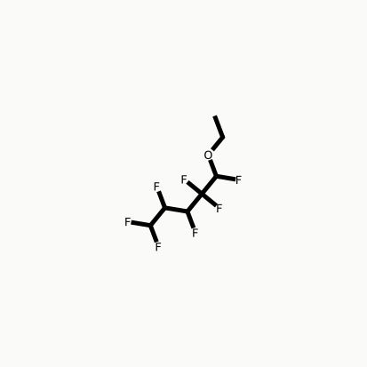 CCOC(F)C(F)(F)C(F)C(F)C(F)F